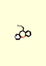 CNCC1Cc2cnccc2Oc2ccccc21